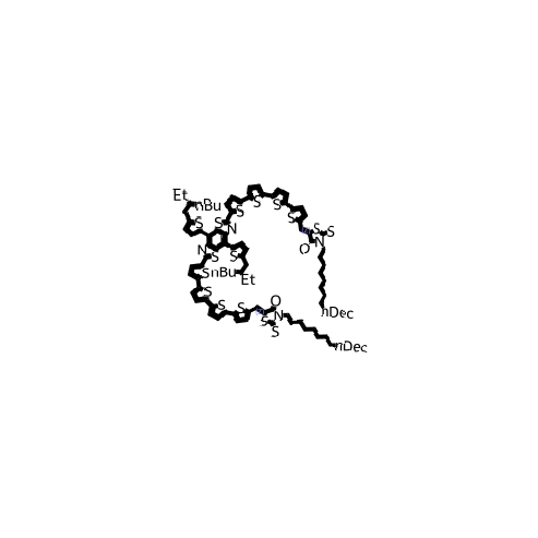 CCCCCCCCCCCCCCCCCCN1C(=O)/C(=C/c2ccc(-c3ccc(-c4ccc(-c5ccc(-c6nc7c(-c8ccc(CC(CC)CCCC)s8)c8sc(-c9ccc(-c%10ccc(-c%11ccc(-c%12ccc(/C=C%13\SC(=S)N(CCCCCCCCCCCCCCCCCC)C%13=O)s%12)s%11)s%10)s9)nc8c(-c8ccc(CC(CC)CCCC)s8)c7s6)s5)s4)s3)s2)SC1=S